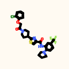 O=C(Nc1cc(C(F)(F)F)ccc1N1CCCC1)c1csc(C2CCN(C(=O)COc3ccccc3Cl)CC2)n1